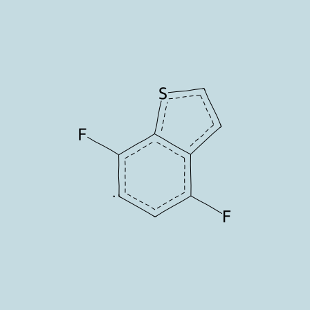 Fc1c[c]c(F)c2sccc12